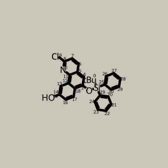 CC(C)(C)[Si](Oc1cc2ccc(Cl)nc2c2cc(O)ccc12)(c1ccccc1)c1ccccc1